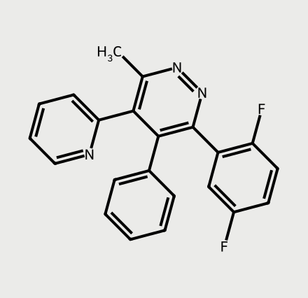 Cc1nnc(-c2cc(F)ccc2F)c(-c2ccccc2)c1-c1ccccn1